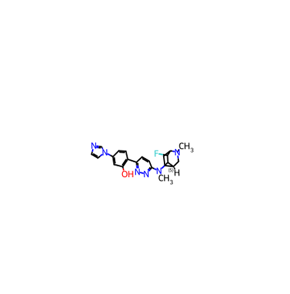 CN1C[C@@H]2CCC1C(F)C2N(C)c1ccc(-c2ccc(-n3ccnc3)cc2O)nn1